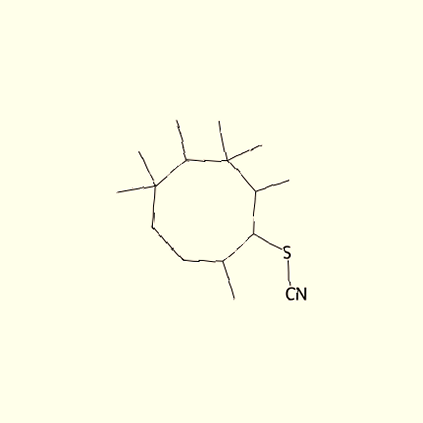 CC1CCC(C)(C)C(C)C(C)(C)C(C)C1SC#N